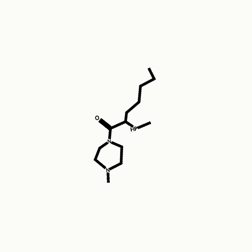 CCCCCC(PC)C(=O)N1CCN(C)CC1